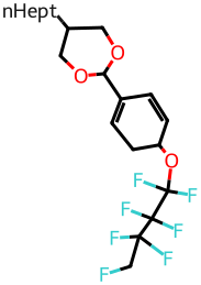 CCCCCCCC1COC(C2=CCC(OC(F)(F)C(F)(F)C(F)(F)CF)C=C2)OC1